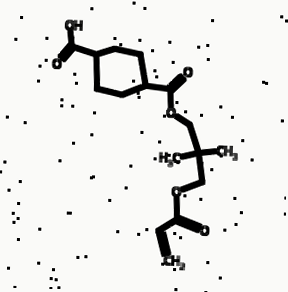 C=CC(=O)OCC(C)(C)COC(=O)C1CCC(C(=O)O)CC1